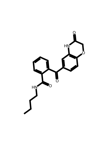 CCCCNC(=O)c1ccccc1C(=O)c1ccc2c(c1)NC(=O)CO2